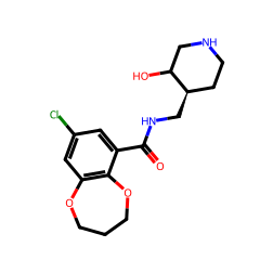 O=C(NC[C@@H]1CCNCC1O)c1cc(Cl)cc2c1OCCCO2